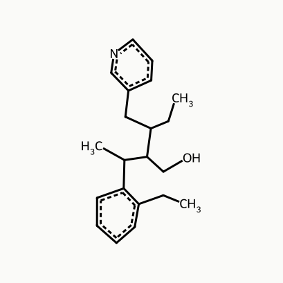 CCc1ccccc1C(C)C(CO)C(CC)Cc1cccnc1